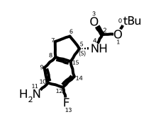 CC(C)(C)OC(=O)N[C@H]1CCc2cc(N)c(F)cc21